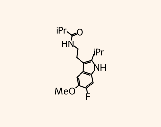 COc1cc2c(CCNC(=O)C(C)C)c(C(C)C)[nH]c2cc1F